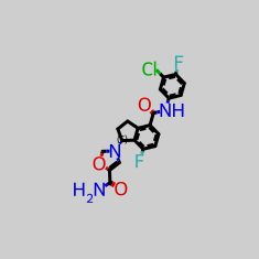 NC(=O)C1=CN([C@H]2CCc3c(C(=O)Nc4ccc(F)c(Cl)c4)ccc(F)c32)CO1